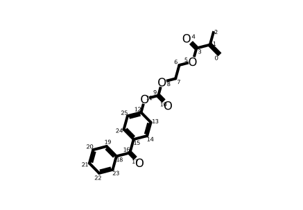 C=C(C)C(=O)OCCOC(=O)Oc1ccc(C(=O)c2ccccc2)cc1